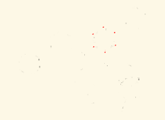 c1ccc(-c2cccc(N(c3ccccc3)c3ccc4oc5ccc6ccccc6c5c4c3N(c3ccccc3)c3cccc(-c4ccccc4)c3)c2)cc1